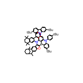 CC1c2cc3oc4c(c3cc2C2(C)CCCC1C2)N(c1cc2c(cc1-c1ccccc1)C(C)(C)CCC2(C)C)c1cc(-n2c3cc(C(C)(C)C)ccc3c3ccc(C(C)(C)C)cc32)cc2c1B4c1cc(C(C)(C)C)ccc1N2c1ccc(C(C)(C)C)cc1